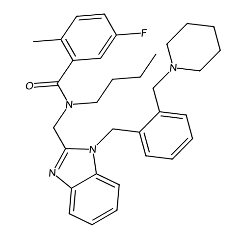 CCCCN(Cc1nc2ccccc2n1Cc1ccccc1CN1CCCCC1)C(=O)c1cc(F)ccc1C